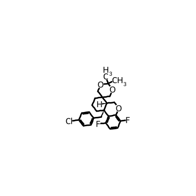 CC1(C)OCC2(CCC[C@@]3(Cc4ccc(Cl)cc4)c4c(F)ccc(F)c4OC[C@@H]23)CO1